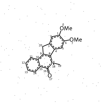 COc1cc2c(cc1OC)-c1c(c3ccccc3c(=O)n1C)C2